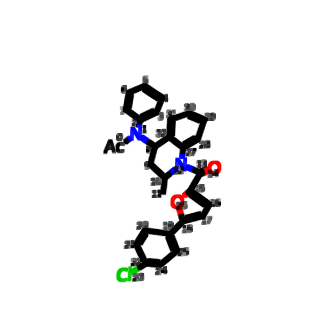 CC(=O)N(c1ccccc1)C1CC(C)N(C(=O)c2ccc(-c3ccc(Cl)cc3)o2)c2ccccc21